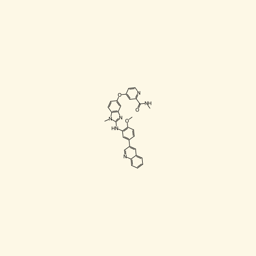 CNC(=O)c1cc(Oc2ccc3c(c2)nc(Nc2cc(-c4cnc5ccccc5c4)ccc2OC)n3C)ccn1